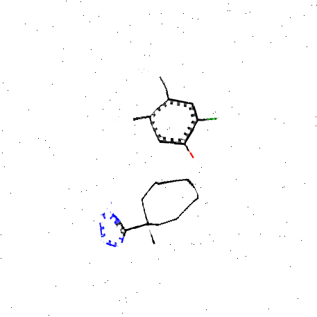 COc1cc(F)c(O[C@H]2CC[C@@](C)(c3nnn[nH]3)CC2)cc1C(=O)O